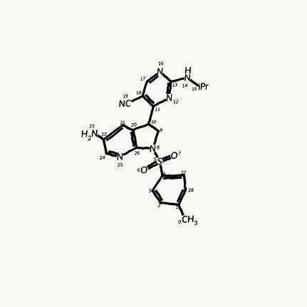 Cc1ccc(S(=O)(=O)N2CC(c3nc(NC(C)C)ncc3C#N)c3cc(N)cnc32)cc1